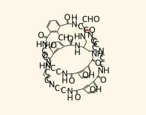 Cc1c2cccc1C(=O)NCCN1CCNC(=O)c3cccc(c3O)C(=O)NCCN(CCNC2=O)CCN2CCNC(=O)c3cccc(c3O)C(=O)NCCN(CC1)CC(CNC(=O)CC=O)NC(=O)c1cccc(c1O)C(=O)NCC2